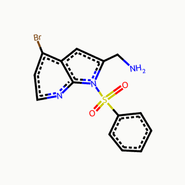 NCc1cc2c(Br)ccnc2n1S(=O)(=O)c1ccccc1